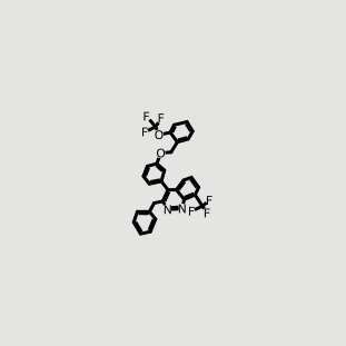 FC(F)(F)Oc1ccccc1COc1cccc(-c2c(Cc3ccccc3)nnc3c(C(F)(F)F)cccc23)c1